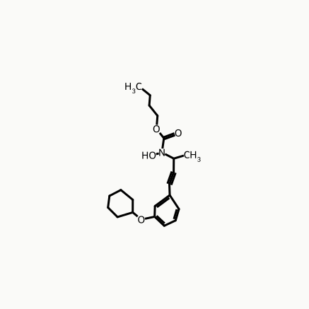 CCCCOC(=O)N(O)C(C)C#Cc1cccc(OC2CCCCC2)c1